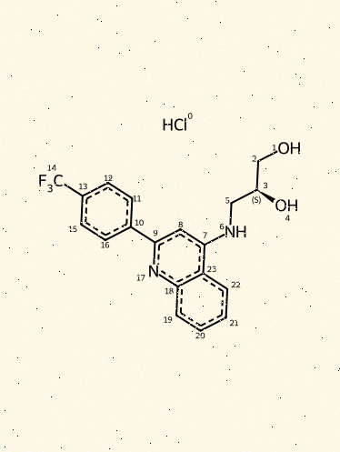 Cl.OC[C@@H](O)CNc1cc(-c2ccc(C(F)(F)F)cc2)nc2ccccc12